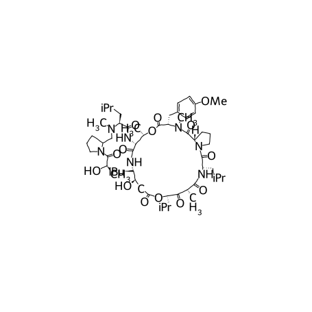 CC[C@H](C)[C@@H]1NC(=O)[C@H](NC(=O)[C@H](CC(C)C)N(C)CC2CCCN2C(=O)[C@@H](C)O)[C@H](C)OC(=O)[C@H](Cc2ccc(OC)cc2)N(C)C(=O)[C@@H]2CCCN2C(=O)[C@H](CC(C)C)NC(=O)[C@H](C)C(=O)[C@H](C(C)C)OC(=O)C[C@H]1O